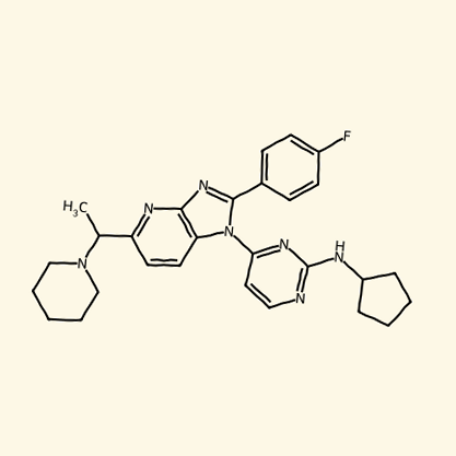 CC(c1ccc2c(n1)nc(-c1ccc(F)cc1)n2-c1ccnc(NC2CCCC2)n1)N1CCCCC1